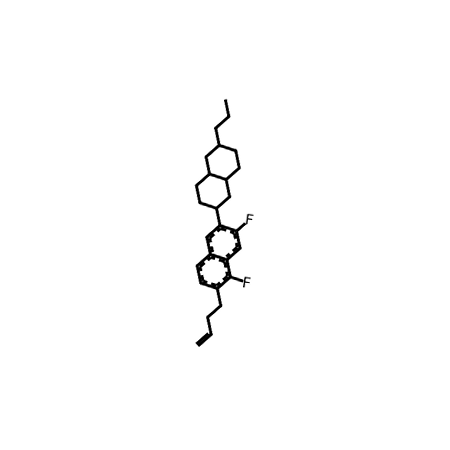 C=CCCc1ccc2cc(C3CCC4CC(CCC)CCC4C3)c(F)cc2c1F